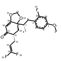 COc1ccc(C[C@H](C)[C@]23C[C@H](CC=C(F)F)C(=O)C=C2OCO3)c(F)c1